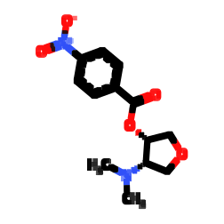 CN(C)[C@H]1COC[C@H]1OC(=O)c1ccc([N+](=O)[O-])cc1